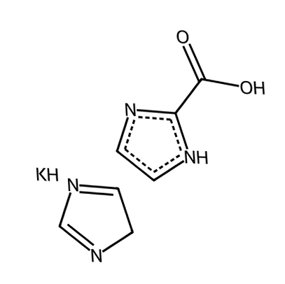 C1=NC=NC1.O=C(O)c1ncc[nH]1.[KH]